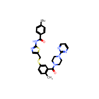 Cc1ccc(SCc2cnc(NC(=O)c3ccc(C(C)(C)C)cc3)s2)cc1C(=O)N1CCN(c2ncccn2)CC1